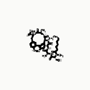 CCCCCCCCCCCCCCCC(=O)N(C)[C@H](CO)C(=O)N[C@H](N)C(=O)NCC(=O)N(C)[C@@H]1C(=O)N[C@@H](C)C(=O)N[C@H](C(=O)NC)Cc2ccc(O)c(c2)-c2cc1ccc2O